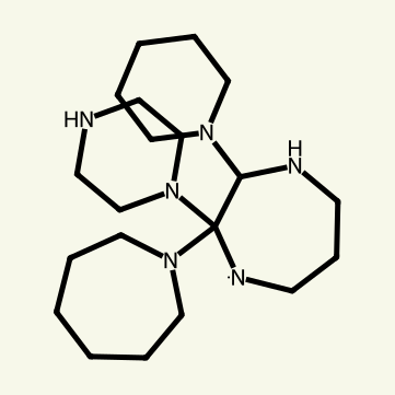 C1CCN(C2NCCC[N]C2(N2CCCCCC2)N2CCNCC2)CC1